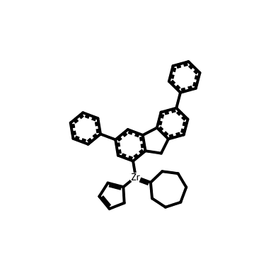 C1=CC[C]([Zr](=[C]2CCCCCC2)[c]2cc(-c3ccccc3)cc3c2Cc2ccc(-c4ccccc4)cc2-3)=C1